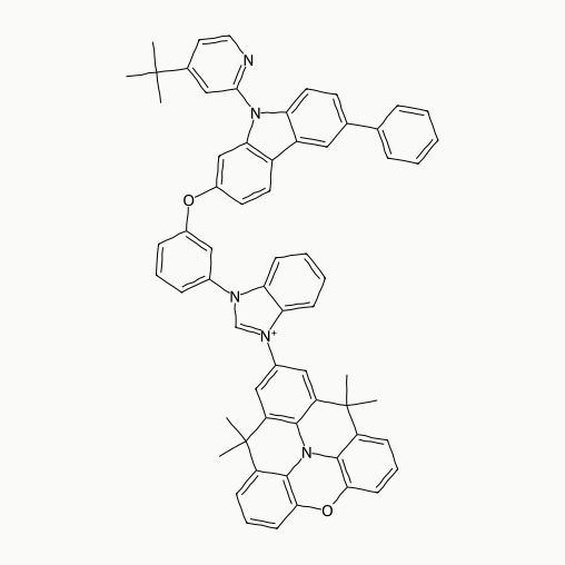 CC(C)(C)c1ccnc(-n2c3ccc(-c4ccccc4)cc3c3ccc(Oc4cccc(-n5c[n+](-c6cc7c8c(c6)C(C)(C)c6cccc9c6N8c6c(cccc6C7(C)C)O9)c6ccccc65)c4)cc32)c1